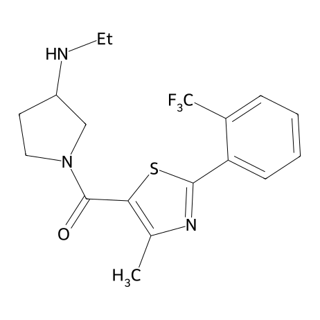 CCNC1CCN(C(=O)c2sc(-c3ccccc3C(F)(F)F)nc2C)C1